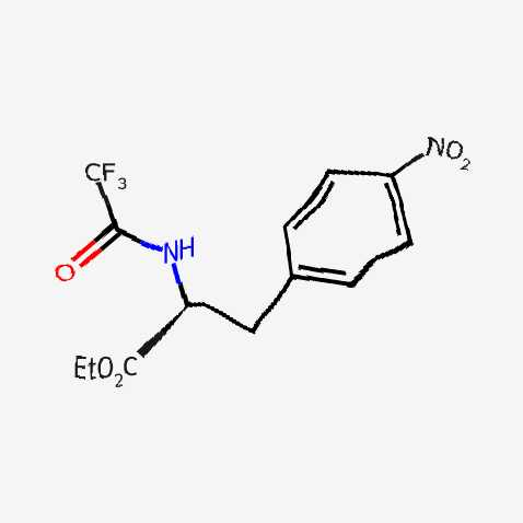 CCOC(=O)[C@H](Cc1ccc([N+](=O)[O-])cc1)NC(=O)C(F)(F)F